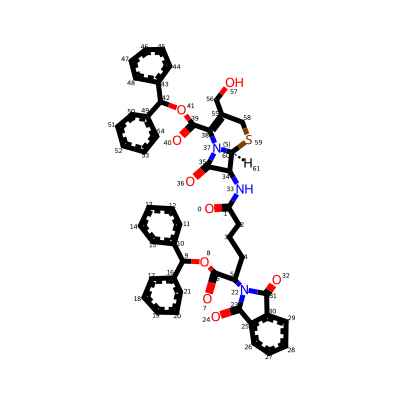 O=C(CCCC(C(=O)OC(c1ccccc1)c1ccccc1)N1C(=O)c2ccccc2C1=O)NC1C(=O)N2C(C(=O)OC(c3ccccc3)c3ccccc3)=C(CO)CS[C@@H]12